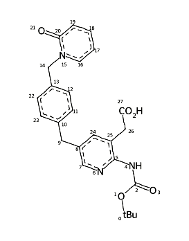 CC(C)(C)OC(=O)Nc1ncc(Cc2ccc(Cn3ccccc3=O)cc2)cc1CC(=O)O